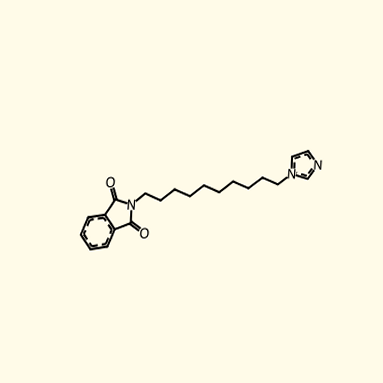 O=C1c2ccccc2C(=O)N1CCCCCCCCCCn1ccnc1